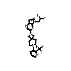 FC(F)Cn1ncc2ncc(N3CC4(CCN(c5cccnc5C(F)(F)F)CC4)C3)nc21